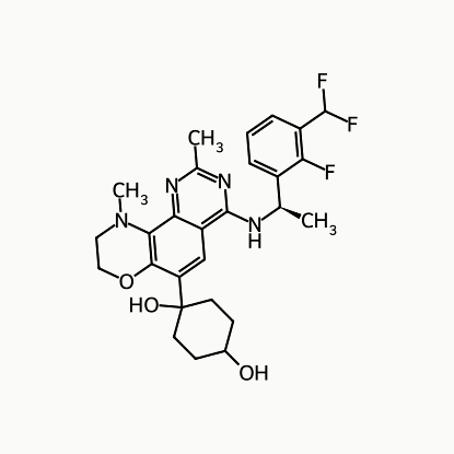 Cc1nc(N[C@H](C)c2cccc(C(F)F)c2F)c2cc(C3(O)CCC(O)CC3)c3c(c2n1)N(C)CCO3